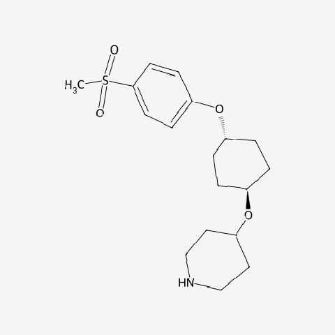 CS(=O)(=O)c1ccc(O[C@H]2CC[C@H](OC3CCNCC3)CC2)cc1